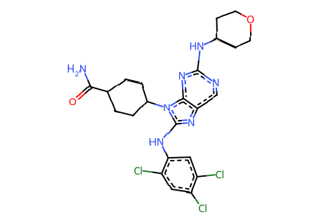 NC(=O)C1CCC(n2c(Nc3cc(Cl)c(Cl)cc3Cl)nc3cnc(NC4CCOCC4)nc32)CC1